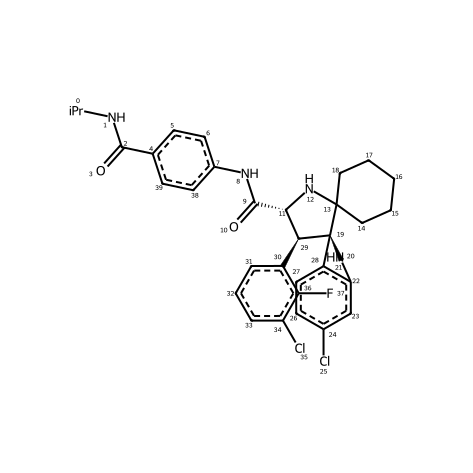 CC(C)NC(=O)c1ccc(NC(=O)[C@@H]2NC3(CCCCC3)[C@@]3(CNc4cc(Cl)ccc43)[C@H]2c2cccc(Cl)c2F)cc1